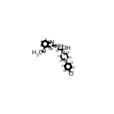 COc1cccc2nc(NCCN3CCN(c4ccc(Cl)cc4)CC3)sc12.Cl